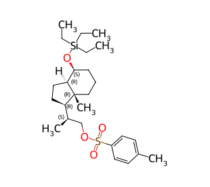 CC[Si](CC)(CC)O[C@H]1CCC[C@]2(C)[C@@H]([C@H](C)COS(=O)(=O)c3ccc(C)cc3)CC[C@@H]12